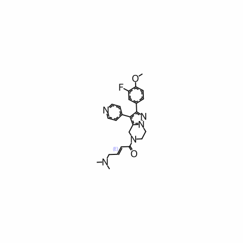 COc1ccc(-c2nn3c(c2-c2ccncc2)CN(C(=O)/C=C/CN(C)C)CC3)cc1F